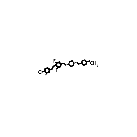 CCc1ccc(CC[C@H]2CC[C@H](CCc3cc(F)c(CCc4ccc(Cl)c(F)c4)c(F)c3)CC2)cc1